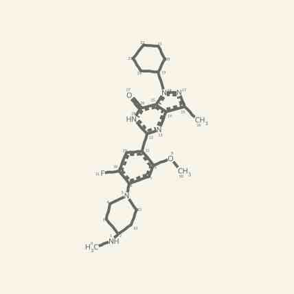 CNC1CCN(c2cc(OC)c(-c3nc4c(C)nn(C5CCCCC5)c4c(=O)[nH]3)cc2F)CC1